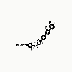 CCCCCc1ccc(C(F)(F)OC2COC(c3ccc(-c4ccc(-c5ccc(F)c(F)c5)c(F)c4)cc3)OC2)c(F)c1